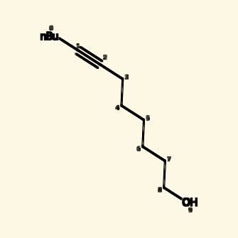 CCCCC#CCCCCCCO